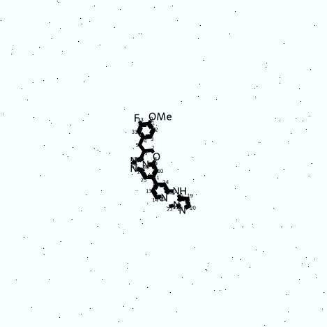 COc1ccc(CC2COc3cc(-c4ccnc(Nc5ccnn5C)c4)cc4nnc2n34)cc1F